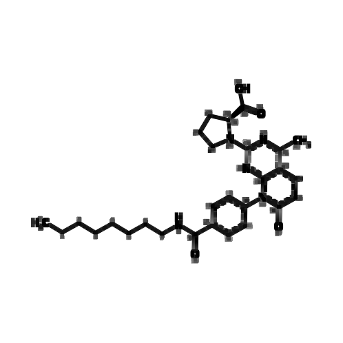 CCCCCCCCNC(=O)c1ccc(-n2c(=O)ccc3c(C)nc(N4CCC[C@H]4C(=O)O)nc32)cc1